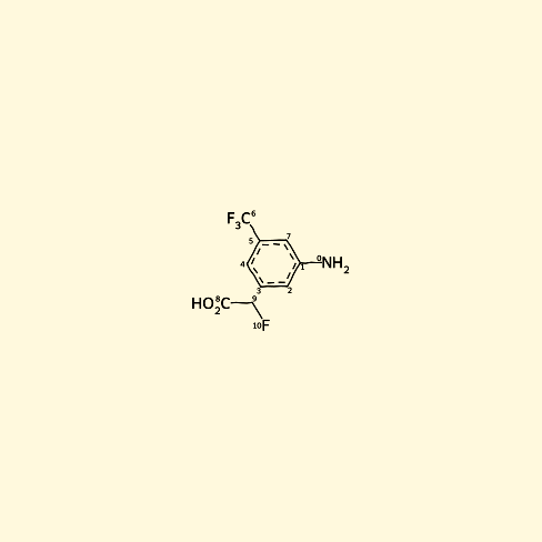 Nc1cccc(C(F)(F)F)c1.O=C(O)CF